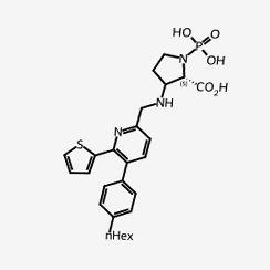 CCCCCCc1ccc(-c2ccc(CNC3CCN(P(=O)(O)O)[C@@H]3C(=O)O)nc2-c2cccs2)cc1